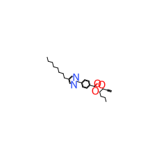 C#CC(=O)C(CCC)OC(=O)c1ccc(-c2ncc(CCCCCCCC)cn2)cc1